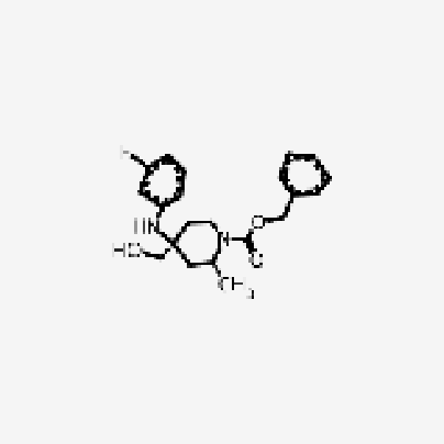 C[C@H]1C[C@](CO)(Nc2cccc(F)c2)CCN1C(=O)OCc1ccccc1